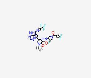 COc1ncc(-c2cc(CN3CC(C(F)(F)F)C3)c3c(N)ncnn23)cc1C(=O)NC1CN(C(=O)C2CC(F)(F)C2)C[C@@H]1F